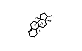 CC[C@H]1CC[C@H]2[C@@H]3CCC4=CCCC[C@@H]4[C@H]3CC[C@]12CC